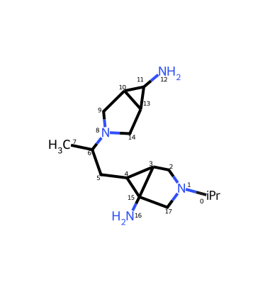 CC(C)N1CC2C(CC(C)N3CC4C(N)C4C3)C2(N)C1